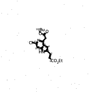 CCOC(=O)C=Cc1cc2c(CC(=O)OC(C)(C)C)nc(Cl)cc2[nH]1